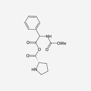 COC(=O)NC(C(=O)OC(=O)[C@@H]1CCCN1)c1ccccc1